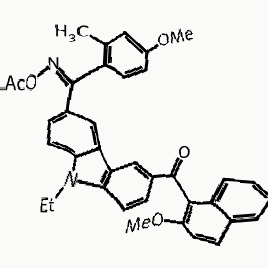 CCn1c2ccc(C(=O)c3c(OC)ccc4ccccc34)cc2c2cc(/C(=N\OC(C)=O)c3ccc(OC)cc3C)ccc21